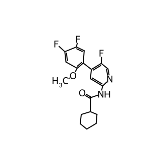 COc1cc(F)c(F)cc1-c1cc(NC(=O)C2CCCCC2)ncc1F